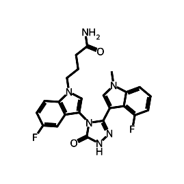 Cn1cc(-c2n[nH]c(=O)n2-c2cn(CCCC(N)=O)c3ccc(F)cc23)c2c(F)cccc21